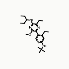 CCc1cc(NC(C)(C)C)ncc1-c1nc(CC)c(NC(CC)CC)nc1OC